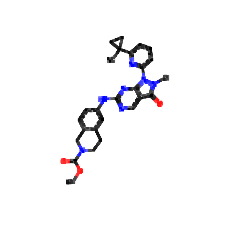 CCn1c(=O)c2cnc(Nc3ccc4c(c3)CCN(C(=O)OC(C)(C)C)C4)nc2n1-c1cccc(C2(C#N)CC2)n1